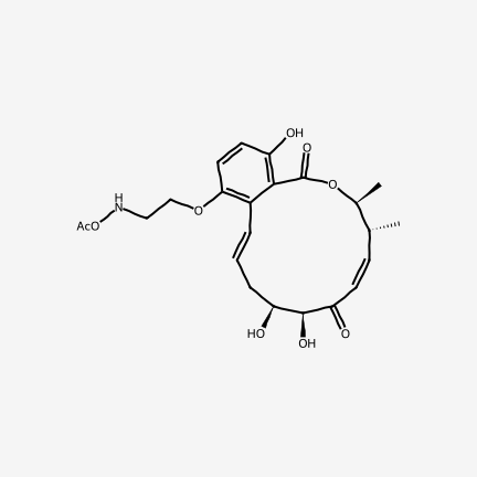 CC(=O)ONCCOc1ccc(O)c2c1/C=C/C[C@H](O)[C@H](O)C(=O)/C=C\[C@@H](C)[C@H](C)OC2=O